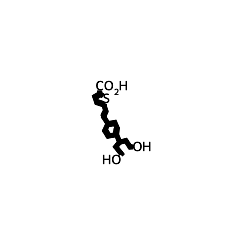 O=C(O)c1ccc(/C=C/c2ccc(C(CCO)CCO)cc2)s1